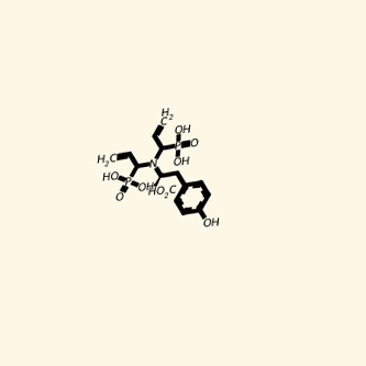 C=CC(N(C(C=C)P(=O)(O)O)[C@@H](Cc1ccc(O)cc1)C(=O)O)P(=O)(O)O